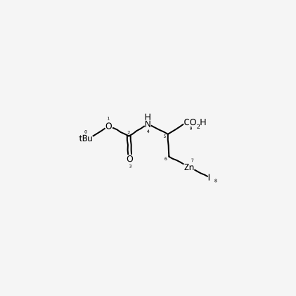 CC(C)(C)OC(=O)NC([CH2][Zn][I])C(=O)O